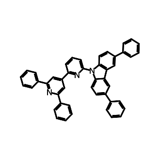 c1ccc(-c2ccc3c(c2)c2cc(-c4ccccc4)ccc2n3-c2cccc(-c3cc(-c4ccccc4)nc(-c4ccccc4)c3)n2)cc1